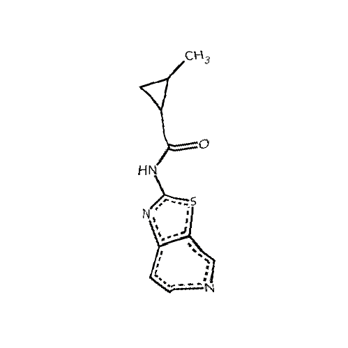 CC1CC1C(=O)Nc1nc2ccncc2s1